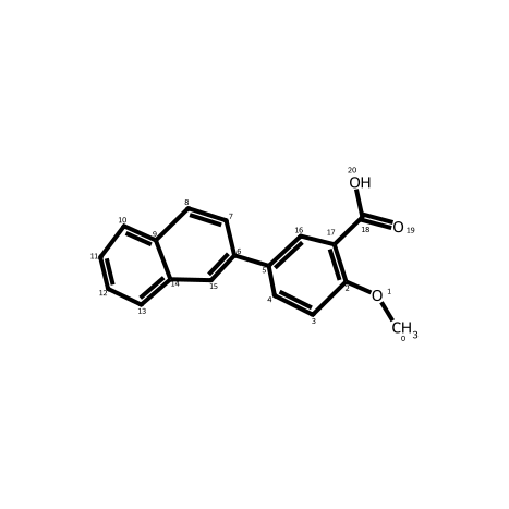 COc1ccc(-c2ccc3ccccc3c2)cc1C(=O)O